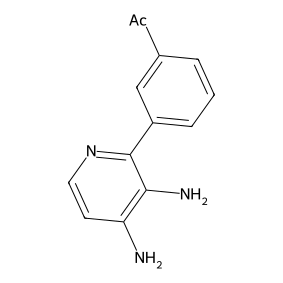 CC(=O)c1cccc(-c2nccc(N)c2N)c1